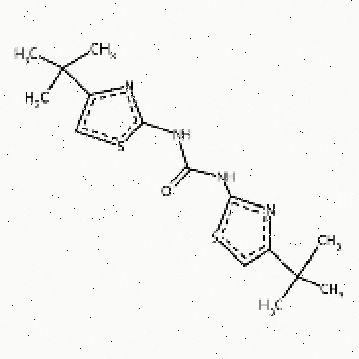 CC(C)(C)c1csc(NC(=O)Nc2nc(C(C)(C)C)cs2)n1